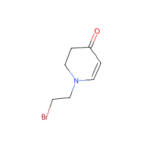 O=C1C=CN(CCBr)CC1